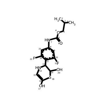 CC(C)COC(=O)Nc1cc(F)c(C2NC=C(O)SC2O)c(F)c1